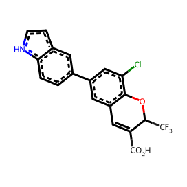 O=C(O)C1=Cc2cc(-c3ccc4[nH]ccc4c3)cc(Cl)c2OC1C(F)(F)F